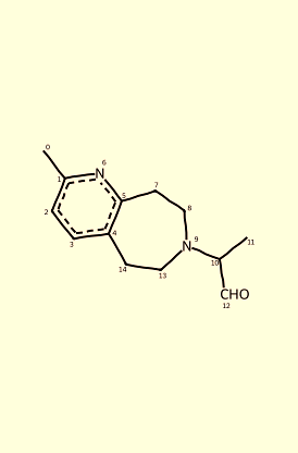 Cc1ccc2c(n1)CCN(C(C)C=O)CC2